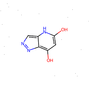 Oc1cc(O)c2nncc-2[nH]1